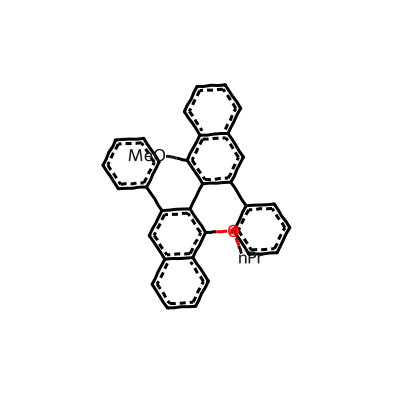 CCCOc1c(-c2c(-c3ccccc3)cc3ccccc3c2OC)c(-c2ccccc2)cc2ccccc12